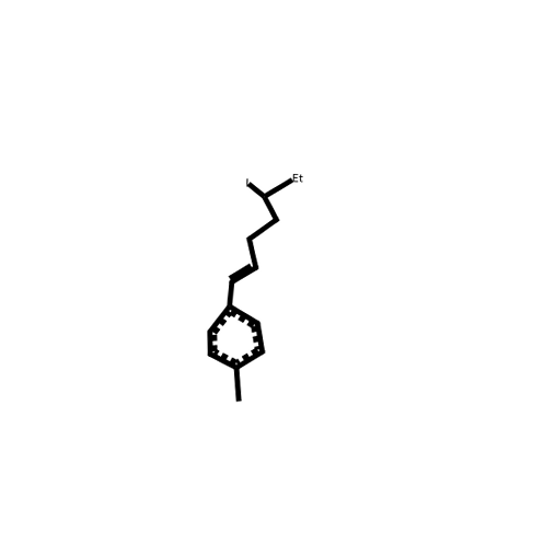 CCC(I)CCC=Cc1ccc(C)cc1